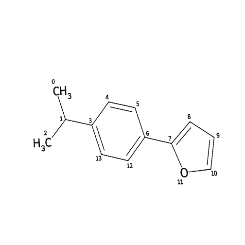 CC(C)c1ccc(-c2ccco2)cc1